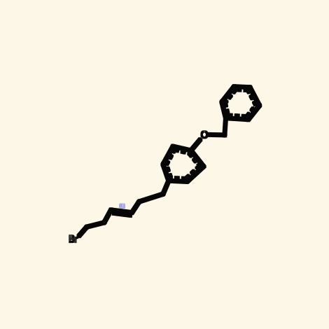 BrCC/C=C/CCc1ccc(OCc2ccccc2)cc1